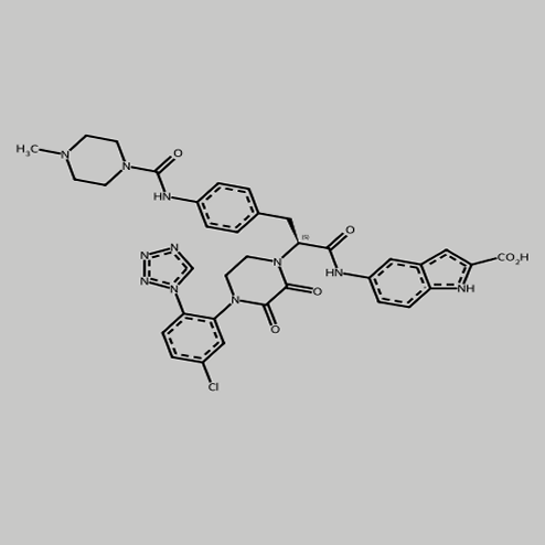 CN1CCN(C(=O)Nc2ccc(C[C@@H](C(=O)Nc3ccc4[nH]c(C(=O)O)cc4c3)N3CCN(c4cc(Cl)ccc4-n4cnnn4)C(=O)C3=O)cc2)CC1